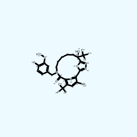 COc1cc(CN2CCCCC[C@](O)(C(F)(F)F)c3nnc(o3)-c3nc(c(C(F)(F)F)cc3N)C2=O)ccc1F